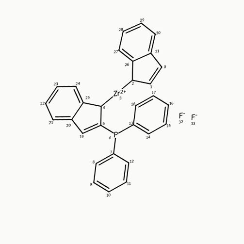 C1=C[CH]([Zr+2][CH]2C(P(c3ccccc3)c3ccccc3)=Cc3ccccc32)c2ccccc21.[F-].[F-]